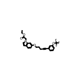 CCOC(=O)Cn1ccc2ccc(OCCCC#Cc3cccc(OC(F)(F)F)c3)cc21